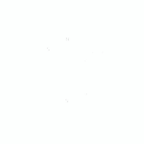 CCOc1cc(C2(c3c(C)n(CC)c4ccccc34)OC(=O)c3cccnc32)ccc1N(CC)CC